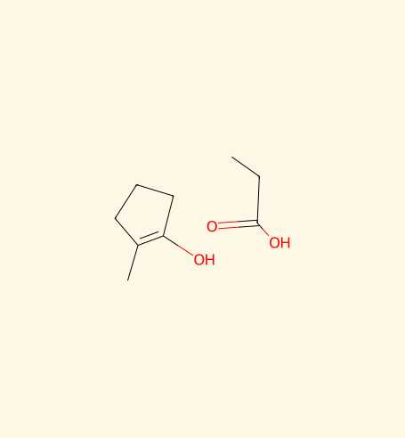 CC1=C(O)CCC1.CCC(=O)O